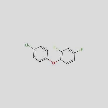 Fc1ccc(Oc2ccc(Cl)cc2)c(F)c1